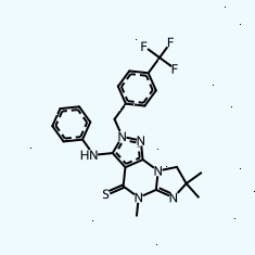 CN1C(=S)c2c(nn(Cc3ccc(C(F)(F)F)cc3)c2Nc2ccccc2)N2CC(C)(C)N=C12